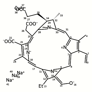 C=CC1=C(C)C2=NC1=CC1=NC(=C(CC)/C1=C/[O-])C=c1[n-]c(c(C(=O)[O-])c1C)=C(CC(=O)[O-])C1=NC(=C2)[C@@H](C)[C@@H]1CCC(=O)[O-].[Cu+2].[Na+].[Na+].[Na+]